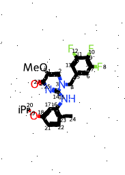 COc1cn(Cc2cc(F)c(F)c(F)c2)c(Nc2cc(OC(C)C)ccc2C)nc1=O